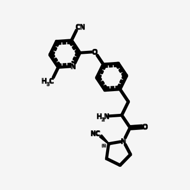 Cc1ccc(C#N)c(Oc2ccc(CC(N)C(=O)N3CCC[C@H]3C#N)cc2)n1